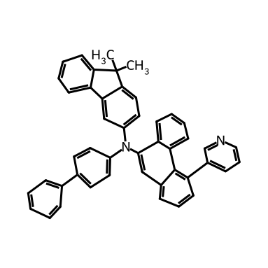 CC1(C)c2ccccc2-c2cc(N(c3ccc(-c4ccccc4)cc3)c3cc4cccc(-c5cccnc5)c4c4ccccc34)ccc21